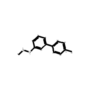 CSOc1cccc(-c2ccc(C)cc2)c1